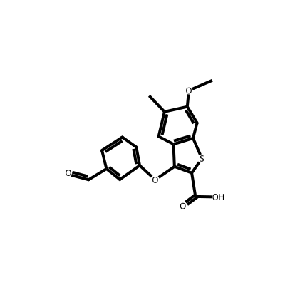 COc1cc2sc(C(=O)O)c(Oc3cccc(C=O)c3)c2cc1C